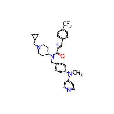 CN(c1ccncc1)c1ccc(CN(C(=O)/C=C/c2ccc(C(F)(F)F)cc2)C2CCN(CC3CC3)CC2)cc1